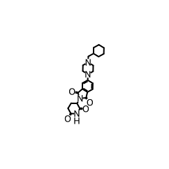 O=C1CCC(N2C(=O)c3ccc(N4CCN(CC5CCCCC5)CC4)cc3C2=O)C(=O)N1